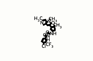 Cc1cc2c(cn1)cc(-c1cc(NC(=O)NC(=O)c3ccc(Cl)c(C(F)(F)F)c3)ccc1C)c(=O)n2C